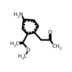 C=C(OC)c1cc(N)ccc1CC(C)=O